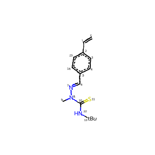 C=Cc1ccc(C=NN(C)C(=S)NC(C)(C)C)cc1